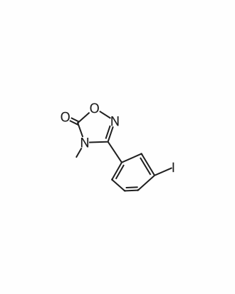 Cn1c(-c2cccc(I)c2)noc1=O